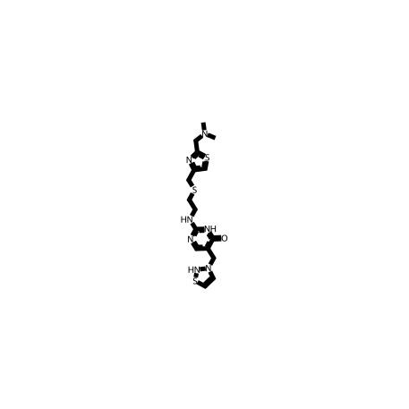 CN(C)Cc1nc(CSCCNc2ncc(CN3C=CSN3)c(=O)[nH]2)cs1